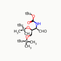 CC(C)(C)OC(=O)N[C@@H](C=O)[C@@H](CO[Si](C)(C)C(C)(C)C)O[Si](C)(C)C(C)(C)C